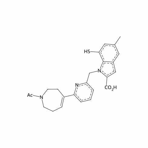 CC(=O)N1CCC=C(c2cccc(Cn3c(C(=O)O)cc4cc(C)cc(S)c43)n2)CC1